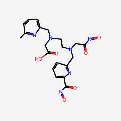 Cc1cccc(CN(CCN(CC(=O)N=O)Cc2cccc(C(=O)N=O)n2)CC(=O)O)n1